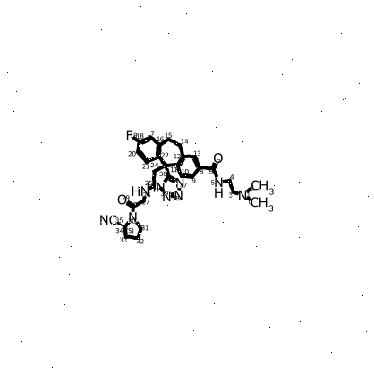 CN(C)CCNC(=O)c1ccc2c(c1)CCc1cc(F)ccc1C2(CCNCC(=O)N1CCC[C@H]1C#N)c1nnn[nH]1